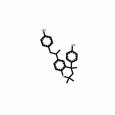 CC(Cc1ccc(O)cc1)c1ccc2c(c1)C(C)(c1ccc(O)cc1)CC(C)(C)O2